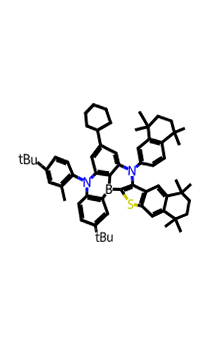 Cc1cc(C(C)(C)C)ccc1N1c2ccc(C(C)(C)C)cc2B2c3sc4cc5c(cc4c3N(c3ccc4c(c3)C(C)(C)CCC4(C)C)c3cc(C4CCCCC4)cc1c32)C(C)(C)CCC5(C)C